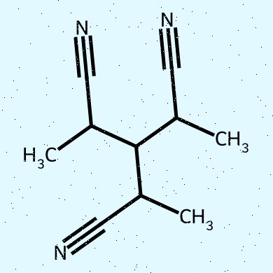 CC(C#N)C(C(C)C#N)C(C)C#N